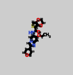 CCOc1cc2nc(C3CCOCC3)cn2cc1NC(=O)c1scc2c1OCCO2